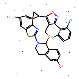 O=C(O)c1ccc2nc(N3CCc4cc(O)ccc4C3OCc3c(-c4c(Cl)cccc4Cl)noc3C3CC3)sc2c1